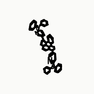 c1ccc(B(c2ccccc2)c2ccc(-c3ccc4c5ccccc5c5c(-c6ccc(N(c7ccccc7)c7ccccc7)nc6)ccc6ccc3c4c65)cn2)cc1